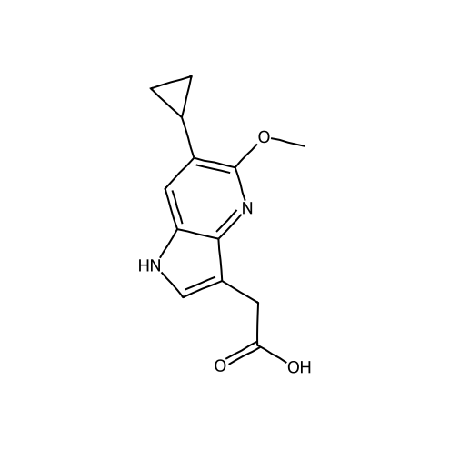 COc1nc2c(CC(=O)O)c[nH]c2cc1C1CC1